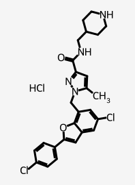 Cc1cc(C(=O)NCC2CCNCC2)nn1Cc1cc(Cl)cc2cc(-c3ccc(Cl)cc3)oc12.Cl